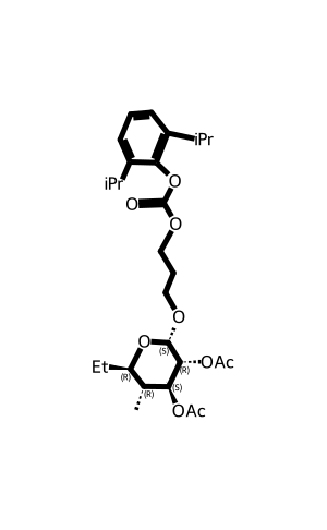 CC[C@H]1O[C@H](OCCCOC(=O)Oc2c(C(C)C)cccc2C(C)C)[C@H](OC(C)=O)[C@@H](OC(C)=O)[C@@H]1C